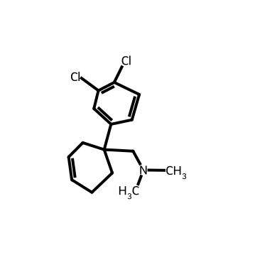 CN(C)CC1(c2ccc(Cl)c(Cl)c2)CC=CCC1